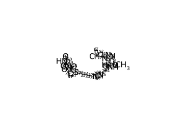 COc1cc2ncnc(Nc3ccc(F)c(Cl)c3)c2cc1NC(=O)/C=C/CN1CCN(CCCCCCCSc2cccc3c2C(=O)N(C2CCC(=O)NC2=O)C3=O)CC1